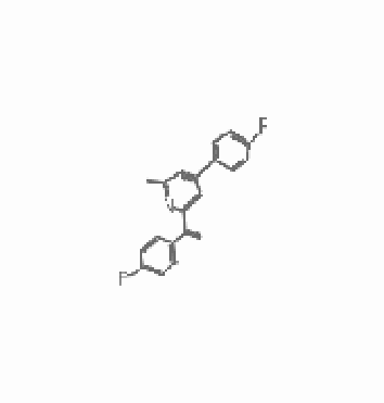 C=C(c1ccc(F)cc1)c1cc(-c2ccc(F)cc2)cc(C)n1